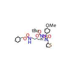 COc1ccc(S(=O)(=O)N(Cc2cccs2)C[C@H](CCCCNC(=O)OCc2ccccc2)NC(=O)OC(C)(C)C)cc1